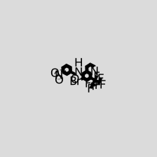 O=C(Nc1c(Br)cc(C(F)(C(F)(F)F)C(F)(F)F)c2ncccc12)c1cccc([N+](=O)[O-])c1